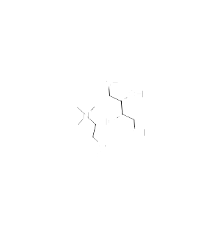 C[N+](C)(C)CCO.O[C@H](CS)[C@H](O)CS.[Cl-]